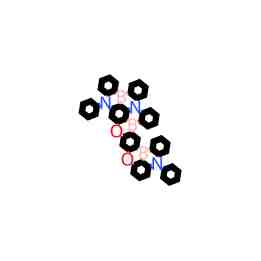 c1ccc(N2c3ccccc3B3c4cc5c(cc4Oc4cccc2c43)Oc2cc3c4c6c2B5c2ccccc2N6c2ccccc2B4c2ccccc2N3c2ccccc2)cc1